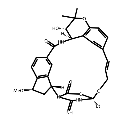 CC[C@]12CC/C=C/c3ccc4c(c3)[C@@H](NC(=O)c3ccc5c(c3)[C@@H](C[C@H]5OC)N(C(=N)N1)C(=O)C2)[C@H](O)C(C)(C)O4